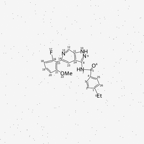 CCc1ccc(C(=O)Nc2n[nH]c3cnc(-c4c(F)cccc4OC)cc23)cc1